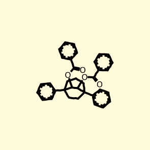 O=C(OC1C(OC(=O)c2ccccc2)C2(c3ccccc3)CCCC1(c1ccccc1)CC2)c1ccccc1